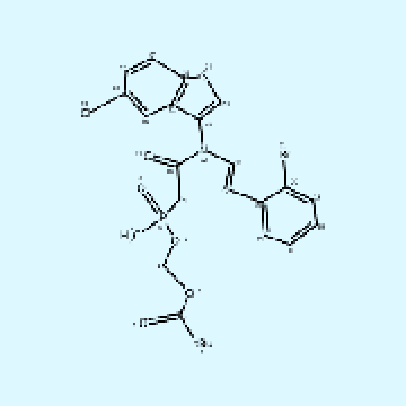 CC(C)(C)C(=O)OCOP(C)(=O)CC(=O)N(/C=C/c1ccccc1Br)c1csc2ccc(Cl)cc12